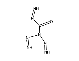 N=NC(=O)N(N=N)N=N